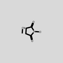 CC#N.O=C1CCC(=O)N1Cl